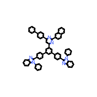 c1ccc(-c2ccc(-c3cc(-c4cc(-c5ccc(-c6nc7ccccc7n6-c6ccccc6)cc5)cc(-c5ccc(-c6nc7ccccc7n6-c6ccccc6)cc5)c4)nc(-c4ccc5ccccc5c4)n3)cc2)cc1